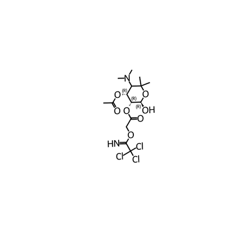 CC(=O)O[C@@H]1C(N(C)C)C(C)(C)O[C@@H](O)[C@@H]1OC(=O)COC(=N)C(Cl)(Cl)Cl